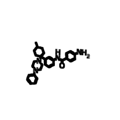 CC1CCC(c2cccc(NC(=O)c3ccc(N)cc3)c2)(N2CCN(c3ccccc3)CC2)CC1